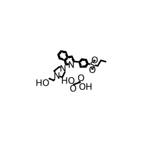 CCCS(=O)(=O)c1ccc(-c2cc3ccccc3c(N3CCN(CCO)CC3)n2)cc1.O=C(O)C(=O)O